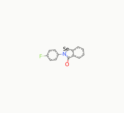 O=c1c2ccccc2[se]n1-c1ccc(F)cc1